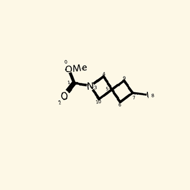 COC(=O)N1CC2(CC(I)C2)C1